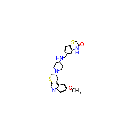 COc1ccc2ncc3c(c2c1)CC(N1CCC(NCc2ccc4c(c2)NC(=O)CS4)CC1)CS3